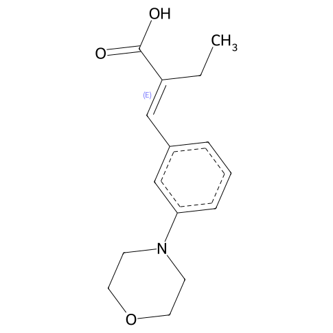 CC/C(=C\c1cccc(N2CCOCC2)c1)C(=O)O